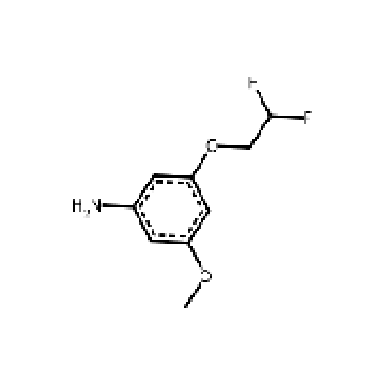 COc1cc(N)cc(OCC(F)F)c1